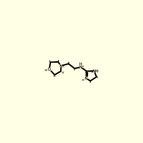 C1CNC(NCCN2CCOCC2)=N1